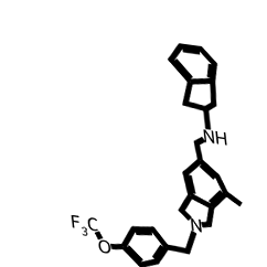 Cc1cc(CNC2Cc3ccccc3C2)cc2c1CN(Cc1ccc(OC(F)(F)F)cc1)C2